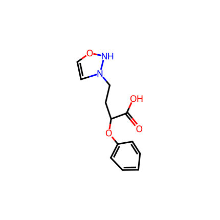 O=C(O)C(CCN1C=CON1)Oc1ccccc1